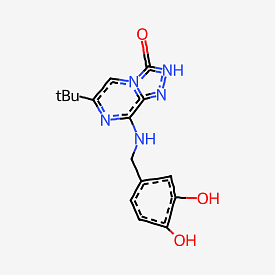 CC(C)(C)c1cn2c(=O)[nH]nc2c(NCc2ccc(O)c(O)c2)n1